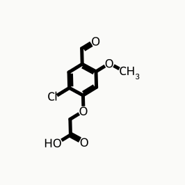 COc1cc(OCC(=O)O)c(Cl)cc1C=O